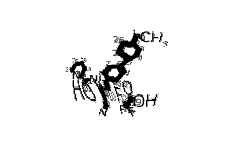 CCc1ccc(-c2ccc(C[C@@H](C#N)NC(=O)[C@@H]3CCCCN3)cc2)cc1.O=C(O)C(F)(F)F